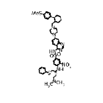 CSc1ccc(C2=C(CN3CCN(c4ccc5c(NS(=O)(=O)c6ccc(N[C@H](CCN(C)C)CSc7ccccc7)c([N+](=O)[O-])c6)ncnc5c4)CC3)CCCC2)cc1